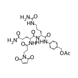 CC(=O)OCc1ccc(NC(=O)[C@H](CCCNC(N)=O)NC(=O)[C@H](CCC(N)=O)NC(=O)CCN2C(=O)C=CC2=O)cc1